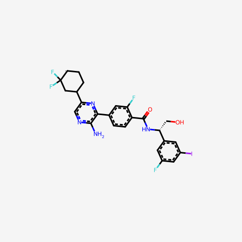 Nc1ncc(C2CC[CH]C(F)(F)C2)nc1-c1ccc(C(=O)N[C@H](CO)c2cc(F)cc(I)c2)c(F)c1